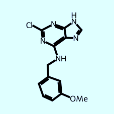 COc1cccc(CNc2nc(Cl)nc3[nH]cnc23)c1